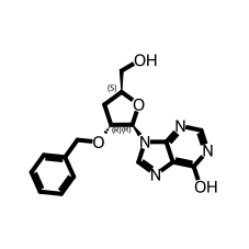 OC[C@@H]1C[C@@H](OCc2ccccc2)[C@H](n2cnc3c(O)ncnc32)O1